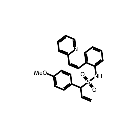 C=CC(c1ccc(OC)cc1)S(=O)(=O)Nc1ccccc1C=Cc1ccccn1